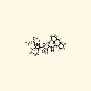 CC(C)n1nc(S(=O)(=O)NC(=O)Nc2c3c(cc4c2CCC4)CCC3)c2c1CCCO2